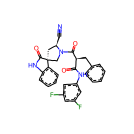 N#C[C@@H]1C[C@@]2(CN1C(=O)[C@@H](Cc1ccccc1)C(=O)Nc1cc(F)cc(F)c1)C(=O)Nc1ccccc12